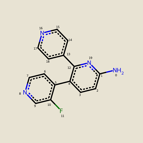 Nc1ccc(-c2ccncc2F)c(-c2ccncc2)n1